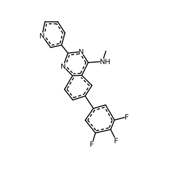 CNc1nc(-c2cccnc2)nc2ccc(-c3cc(F)c(F)c(F)c3)cc12